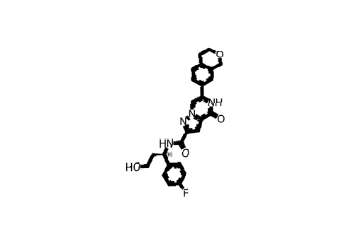 O=C(N[C@H](CCO)c1ccc(F)cc1)c1cc2c(=O)[nH]c(-c3ccc4c(c3)COCC4)cn2n1